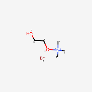 C[N+](C)(C)OCCO.[Br-]